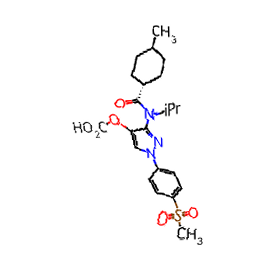 CC(C)N(c1nn(-c2ccc(S(C)(=O)=O)cc2)cc1OC(=O)O)C(=O)[C@H]1CC[C@H](C)CC1